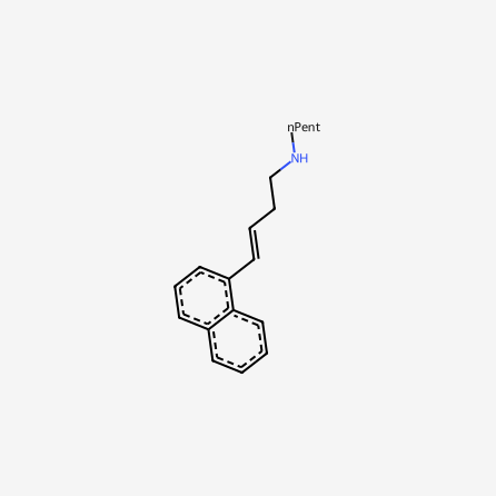 CCCCCNCCC=Cc1cccc2ccccc12